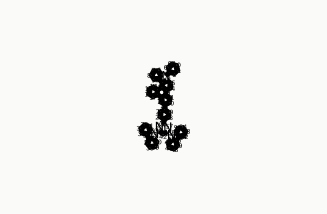 c1ccc(-n2c3ccccc3c3c4c5ccccc5c5cc(-c6ccc(-c7nc(-n8c9ccccc9c9ccccc98)cc(-n8c9ccccc9c9ccccc98)n7)cc6)ccc5c4ccc32)cc1